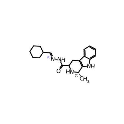 C[C@@H]1NC(C(=O)N/N=C/C2CCCCC2)Cc2c1[nH]c1ccccc21